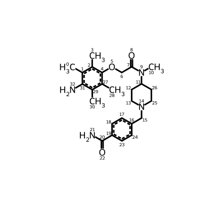 Cc1c(C)c(OCC(=O)N(C)C2CCN(Cc3ccc(C(N)=O)cc3)CC2)c(C)c(C)c1N